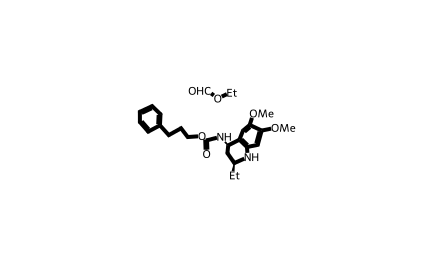 CCOC=O.CC[C@H]1C[C@H](NC(=O)OCCCc2ccccc2)c2cc(OC)c(OC)cc2N1